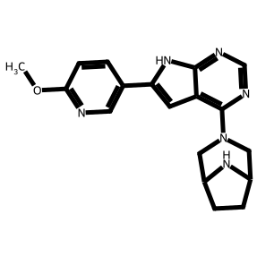 COc1ccc(-c2cc3c(N4CC5CCC(C4)N5)ncnc3[nH]2)cn1